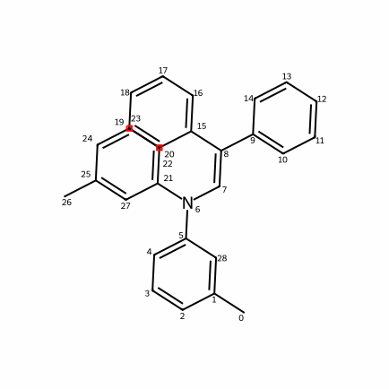 Cc1cccc(N(C=C(c2ccccc2)c2ccccc2)c2cccc(C)c2)c1